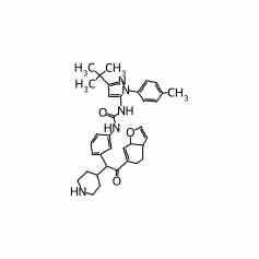 Cc1ccc(-n2nc(C(C)(C)C)cc2NC(=O)Nc2cccc(C(C(=O)C3=CC4OC=CC4CC3)C3CCNCC3)c2)cc1